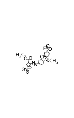 CCOC(=O)c1cc([N+](=O)[O-])sc1N=Nc1ccc(N(CC)c2ccc(S(=O)(=O)F)cc2)c(C)c1